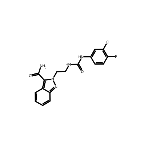 NC(=O)c1c2ccccc2nn1CCNC(=O)Nc1ccc(F)c(Cl)c1